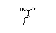 CCC(O)OCCl